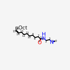 C=NCCNC(=O)CCCCCCC/C=C\CCCCCCCC